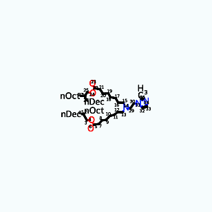 CCCCCCCCCCC(CCCCCCCC)COC(=O)CCCCCCCN(CCCCCCCC(=O)OCC(CCCCCCCC)CCCCCCCCCC)CCn1ccnc1C